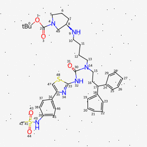 CC(C)(C)OC(=O)N1CCC[C@@H](NCCCCN(CCC(c2ccccc2)c2ccccc2)C(=O)Nc2nc(-c3ccc(NS(C)(=O)=O)cc3)cs2)C1